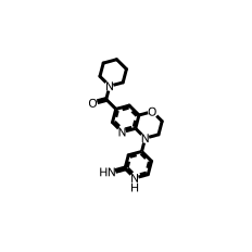 N=c1cc(N2CCOc3cc(C(=O)N4CCCCC4)cnc32)cc[nH]1